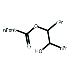 CCCCCC(=O)OC(CCC)C(O)CCC